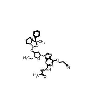 CC[C@H]1O[C@@H](n2cnc3c(OCCC#N)nc(NPC(C)=O)nc32)CC1O[P@]1O[C@@](C)(c2ccccc2)[C@H]2CCCN21